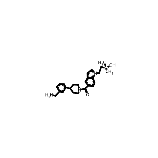 C[Si](C)(O)CCn1ccc2cc(C(=O)N3CCC(c4cccc(CN)c4)CC3)ccc21